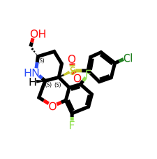 O=S(=O)(c1ccc(Cl)cc1)[C@]12CC[C@@H](CO)N[C@H]1COc1c(F)ccc(F)c12